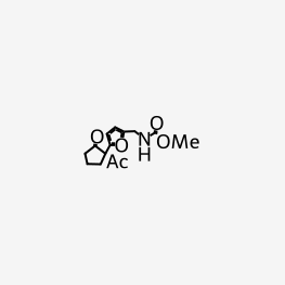 COC(=O)NCc1ccc(C2(C(C)=O)CCCC2=O)o1